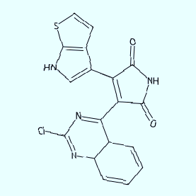 O=C1NC(=O)C(c2c[nH]c3sccc23)=C1C1=NC(Cl)=NC2C=CC=CC12